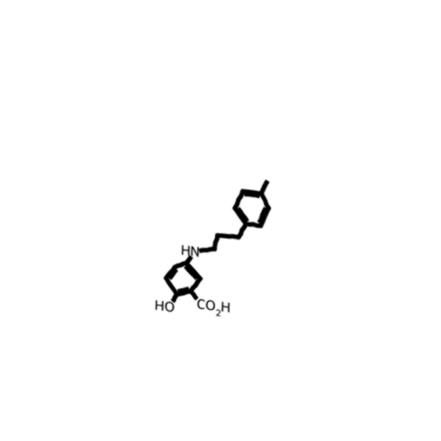 Cc1ccc(CCCNc2ccc(O)c(C(=O)O)c2)cc1